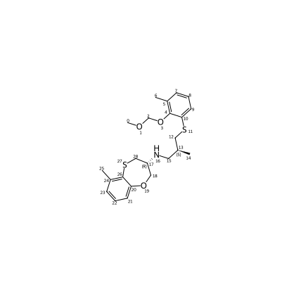 COCOc1c(C)cccc1SC[C@@H](C)CN[C@@H]1COc2cccc(C)c2SC1